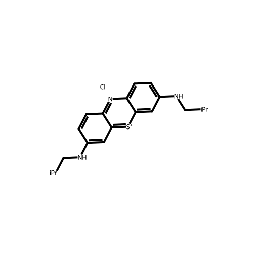 CC(C)CNc1ccc2nc3ccc(NCC(C)C)cc3[s+]c2c1.[Cl-]